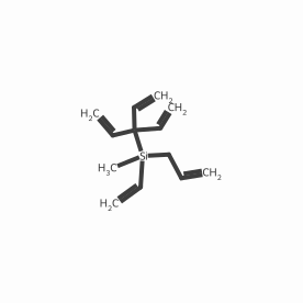 C=CC[Si](C)(C=C)C(C=C)(C=C)C=C